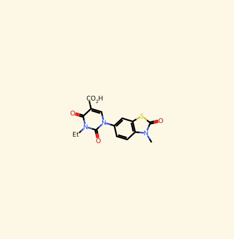 CCn1c(=O)c(C(=O)O)cn(-c2ccc3c(c2)sc(=O)n3C)c1=O